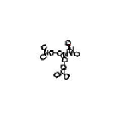 c1ccc(-c2cc(-n3c4ccc(-c5ccc(N(c6ccccc6)c6ccccc6)cc5)cc4c4cc(-c5ccc(N(c6ccccc6)c6ccccc6)cc5)ccc43)nc(-c3ccccc3)n2)cc1